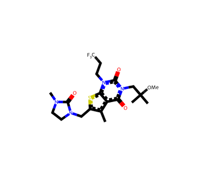 COC(C)(C)Cn1c(=O)c2c(C)c(CN3CCN(C)C3=O)sc2n(CCC(F)(F)F)c1=O